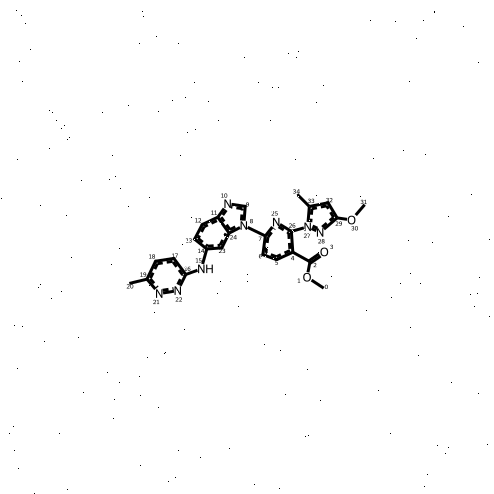 COC(=O)c1ccc(-n2cnc3ccc(Nc4ccc(C)nn4)cc32)nc1-n1nc(OC)cc1C